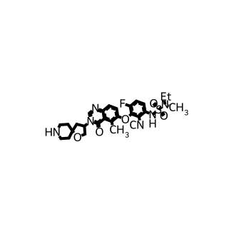 CCN(C)S(=O)(=O)Nc1ccc(F)c(Oc2ccc3ncn(C4COC5(CCNCC5)C4)c(=O)c3c2C)c1C#N